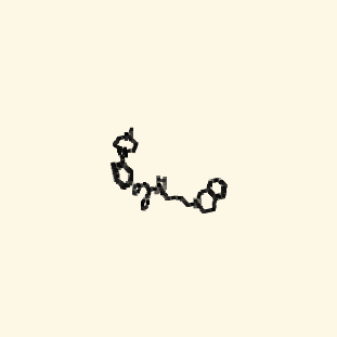 CN1CCN(c2cccc(OCC(=O)NCCCN3CCc4ccccc4C3)c2)CC1